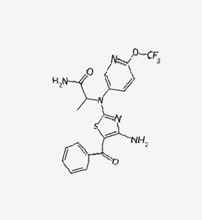 CC(C(N)=O)N(c1ccc(OC(F)(F)F)nc1)c1nc(N)c(C(=O)c2ccccc2)s1